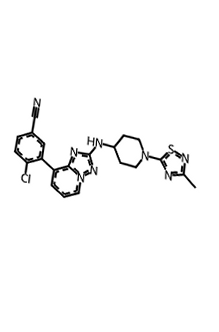 Cc1nsc(N2CCC(Nc3nc4c(-c5cc(C#N)ccc5Cl)cccn4n3)CC2)n1